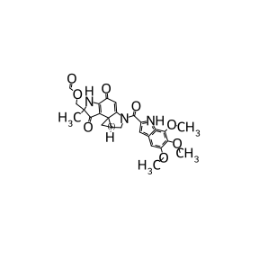 COc1cc2cc(C(=O)N3C[C@H]4CC45C3=CC(=O)C3=C5C(=O)C(C)(COC=O)N3)[nH]c2c(OC)c1OC